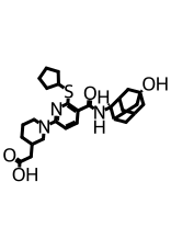 O=C(O)CC1CCCN(c2ccc(C(=O)N[C@H]3C4CC5CC3C[C@@](O)(C5)C4)c(SC3CCCC3)n2)C1